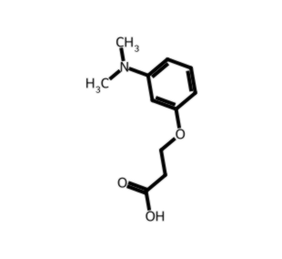 CN(C)c1cccc(OCCC(=O)O)c1